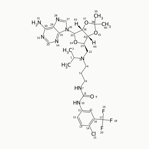 CC(C)N(CCCNC(=O)Nc1ccc(Cl)c(C(F)(F)F)c1)C[C@H]1OC(n2cnc3c(N)ncnc32)[C@@H]2OC(C)(C)O[C@H]12